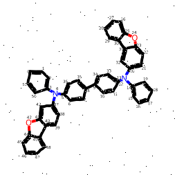 c1ccc(N(c2ccc(-c3ccc(N(c4ccccc4)c4ccc5oc6ccccc6c5c4)cc3)cc2)c2ccc3c(c2)oc2ccccc23)cc1